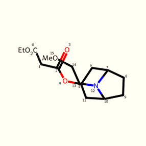 CCOC(=O)CC(=O)OC1CC2CCC(C1)N2CCOC